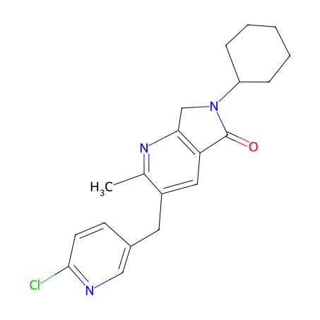 Cc1nc2c(cc1Cc1ccc(Cl)nc1)C(=O)N(C1CCCCC1)C2